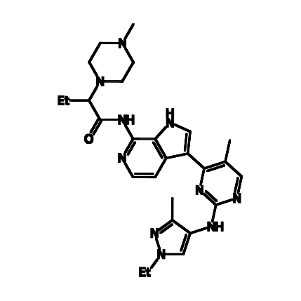 CCC(C(=O)Nc1nccc2c(-c3nc(Nc4cn(CC)nc4C)ncc3C)c[nH]c12)N1CCN(C)CC1